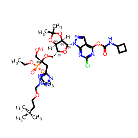 CCOP(=O)(OCC)[C@@](CO)(Cc1nnn(COCC[Si](C)(C)C)n1)OC[C@H]1O[C@@H](n2ncc3c(OC(=O)NC4CCC4)nc(Cl)nc32)[C@@H]2OC(C)(C)O[C@@H]21